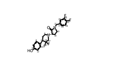 O=C1[C@@H](N2CCC(c3ccc(O)cc3)C(F)(F)C2)CCN1Cc1ccc(F)c(F)c1